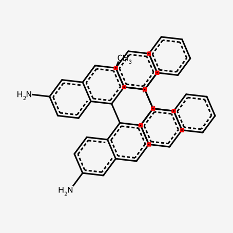 Cc1cc2cc(N)ccc2c(-c2c(P(c3ccccc3)c3ccccc3)ccc3cc(N)ccc23)c1P(c1ccccc1)c1ccccc1